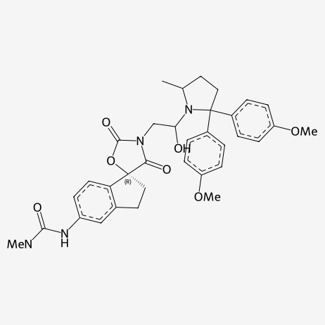 CNC(=O)Nc1ccc2c(c1)CC[C@@]21OC(=O)N(CC(O)N2C(C)CCC2(c2ccc(OC)cc2)c2ccc(OC)cc2)C1=O